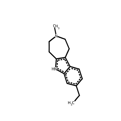 CCc1ccc2c3c([nH]c2c1)CCN(C)CC3